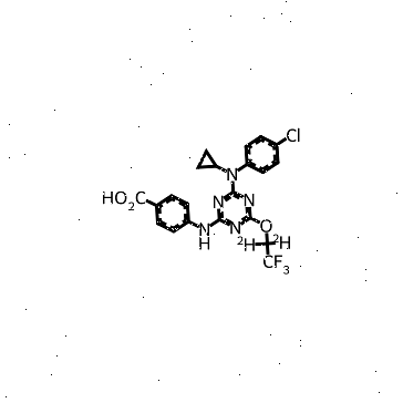 [2H]C([2H])(Oc1nc(Nc2ccc(C(=O)O)cc2)nc(N(c2ccc(Cl)cc2)C2CC2)n1)C(F)(F)F